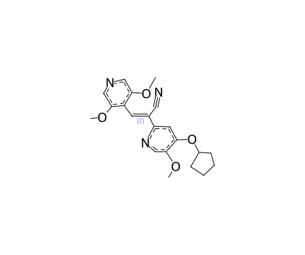 COc1cnc(/C(C#N)=C/c2c(OC)cncc2OC)cc1OC1CCCC1